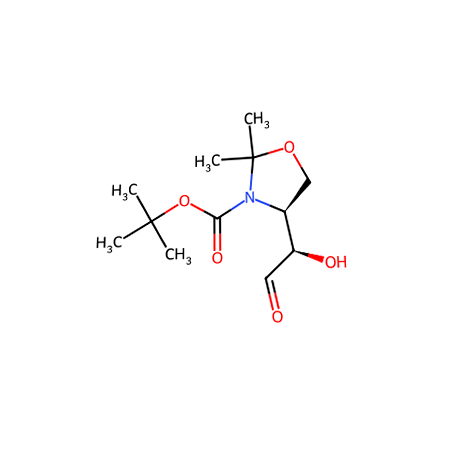 CC(C)(C)OC(=O)N1[C@H]([C@@H](O)C=O)COC1(C)C